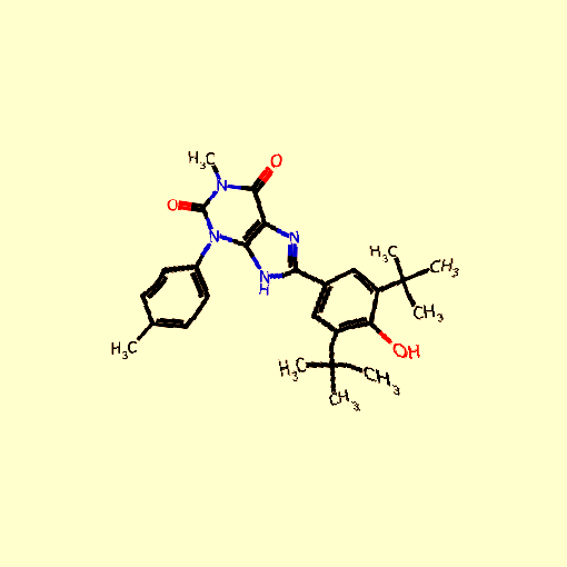 Cc1ccc(-n2c(=O)n(C)c(=O)c3nc(-c4cc(C(C)(C)C)c(O)c(C(C)(C)C)c4)[nH]c32)cc1